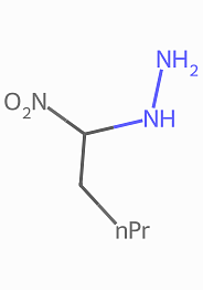 CCCCC(NN)[N+](=O)[O-]